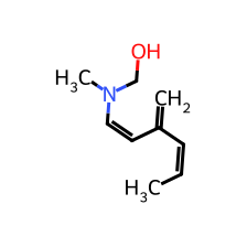 C=C(/C=C\C)/C=C\N(C)CO